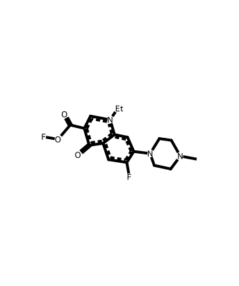 CCn1cc(C(=O)OF)c(=O)c2cc(F)c(N3CCN(C)CC3)cc21